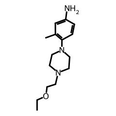 CCOCCN1CCN(c2ccc(N)cc2C)CC1